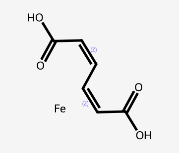 O=C(O)/C=C\C=C/C(=O)O.[Fe]